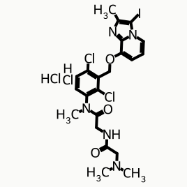 Cc1nc2c(OCc3c(Cl)ccc(N(C)C(=O)CNC(=O)CN(C)C)c3Cl)cccn2c1I.Cl.Cl